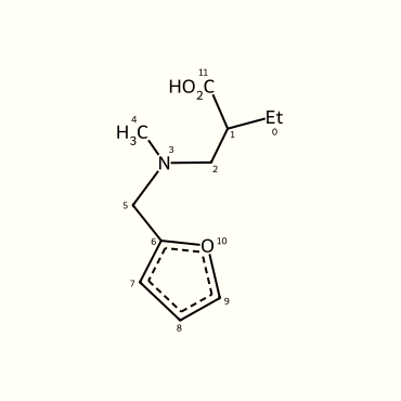 CCC(CN(C)Cc1ccco1)C(=O)O